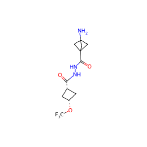 NC12CC(C(=O)NNC(=O)[C@H]3C[C@@H](OC(F)(F)F)C3)(C1)C2